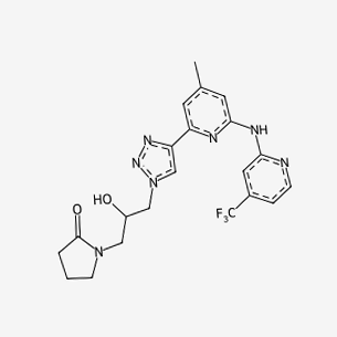 Cc1cc(Nc2cc(C(F)(F)F)ccn2)nc(-c2cn(CC(O)CN3CCCC3=O)nn2)c1